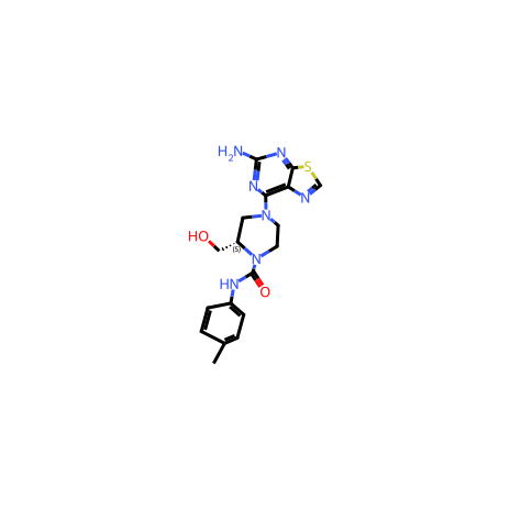 Cc1ccc(NC(=O)N2CCN(c3nc(N)nc4scnc34)C[C@H]2CO)cc1